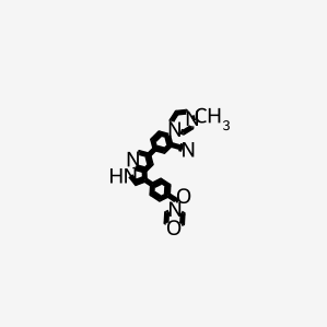 CN1CCCN(c2ccc(-c3cnc4[nH]cc(-c5ccc(C(=O)N6CCOCC6)cc5)c4c3)cc2C#N)CC1